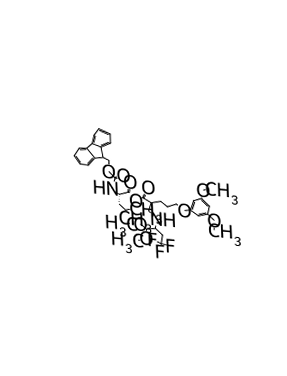 COc1cc(OC)cc(OCCCC(CNC(CC(F)(F)F)C(OC)OC)C(=O)OC(=O)[C@H](CC(C)C)NC(=O)OCC2c3ccccc3-c3ccccc32)c1